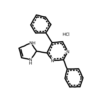 C1=CNC(c2nc(-c3ccccc3)ncc2-c2ccccc2)N1.Cl